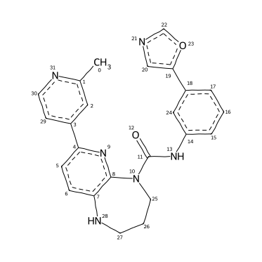 Cc1cc(-c2ccc3c(n2)N(C(=O)Nc2cccc(-c4cnco4)c2)CCCN3)ccn1